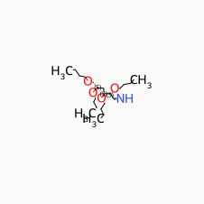 CCCCOC[C@H](C[C@H](OCCCC)[C@H](C=N)OCCCC)OCCCC